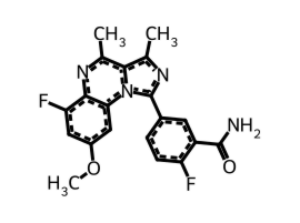 COc1cc(F)c2nc(C)c3c(C)nc(-c4ccc(F)c(C(N)=O)c4)n3c2c1